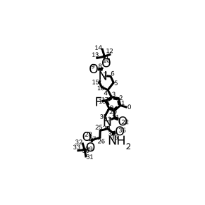 Cc1cc(C2CCN(C(=O)OC(C)(C)C)CC2)c(F)c2c1C(=O)N(C(CCC(=O)OC(C)(C)C)C(N)=O)C2